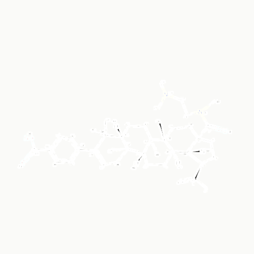 C=C(C)[C@@H]1CC[C@]2(C(=O)N(C)CCN(C)C)CC[C@]3(C)[C@H](CC[C@@H]4[C@@]5(C)CC=C(c6ccc(C(=O)O)cc6)C(C)(C)[C@@H]5CC[C@]43C)[C@@H]12